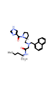 CSCC[C@H](NC(=O)CN(Cc1cccc2ccccc12)C[C@@H]1CCCN1C(=O)c1c[nH]cn1)C(=O)O